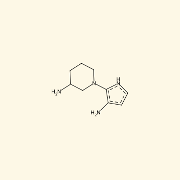 Nc1cc[nH]c1N1CCCC(N)C1